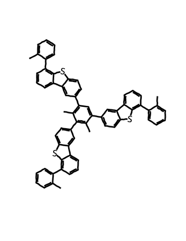 Cc1ccccc1-c1cccc2c1sc1ccc(-c3cc(-c4ccc5sc6c(-c7ccccc7C)cccc6c5c4)c(C)c(-c4ccc5sc6c(-c7ccccc7C)cccc6c5c4)c3C)cc12